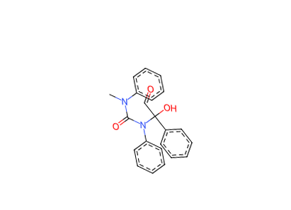 CN(C(=O)N(c1ccccc1)C(O)(C=O)c1ccccc1)c1ccccc1